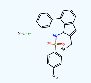 CCC1=Cc2cccc(-c3ccccc3)c2C1NS(=O)(=O)c1ccc(C)cc1.[Cl-].[Cl-].[Zr+2]